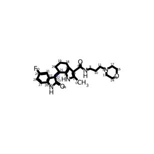 Cc1[nH]c2c(c1C(=O)NCCCN1CCOCC1)CCC/C2=C1/C(=O)Nc2ccc(F)cc21